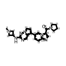 CN1CC(Nc2ncc3c(-c4ccc5ncc(C(=O)N6CCCC6)n5c4)ccn3n2)C1